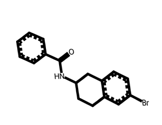 O=C(NC1CCc2cc(Br)ccc2C1)c1ccccc1